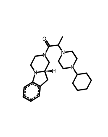 CC(C(=O)N1CCN2c3ccccc3C[C@H]2C1)N1CCN(C2CCCCC2)CC1